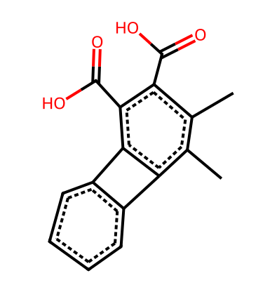 Cc1c(C)c2c(c(C(=O)O)c1C(=O)O)-c1ccccc1-2